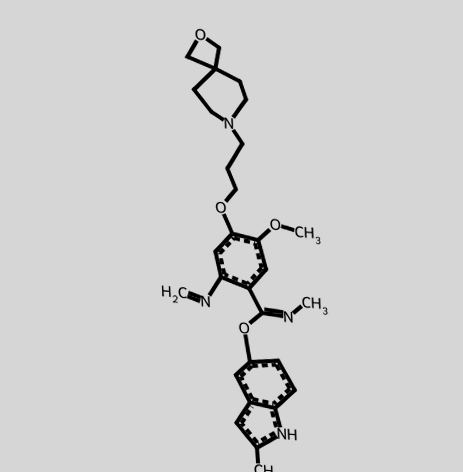 C=Nc1cc(OCCCN2CCC3(CC2)COC3)c(OC)cc1/C(=N\C)Oc1ccc2[nH]c(C)cc2c1